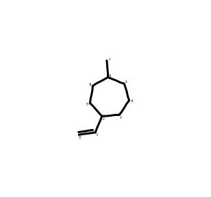 C=CC1CCCC(C)CC1